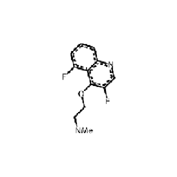 CNCCOc1c(F)cnc2cccc(F)c12